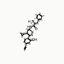 C#Cc1ccc(-c2nnc(NC(=O)[C@H](N)Cc3ccccc3)cc2C2CC2)c(O)c1